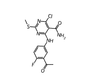 CSc1nc(Cl)c(C(N)=O)c(Nc2ccc(F)c(C(C)=O)c2)n1